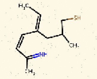 C/C=C(\C=C/C(C)=N)CC(C)CS